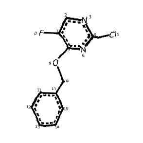 Fc1cnc(Cl)nc1OCc1ccccc1